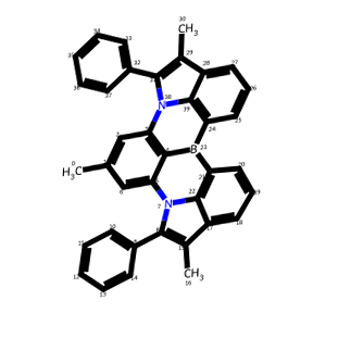 Cc1cc2c3c(c1)-n1c(-c4ccccc4)c(C)c4cccc(c41)B3c1cccc3c(C)c(-c4ccccc4)n-2c13